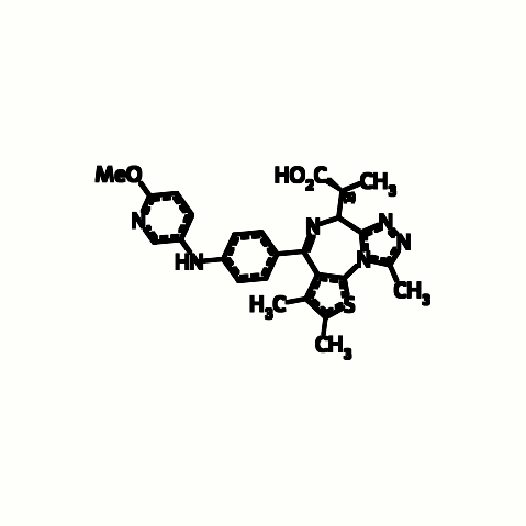 COc1ccc(Nc2ccc(C3=NC([C@H](C)C(=O)O)c4nnc(C)n4-c4sc(C)c(C)c43)cc2)cn1